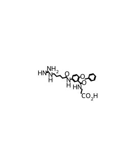 N=C(N)NCCCCC(=O)Nc1ccc(OCc2ccccc2)c(C(=O)NCCC(=O)O)c1